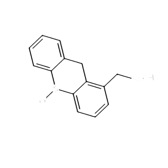 O=S(=O)(O)Cc1cccc2c1Cc1ccccc1[S+]2[O-]